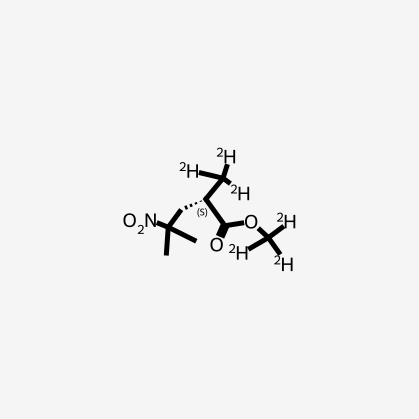 [2H]C([2H])([2H])OC(=O)[C@H](CC(C)(C)[N+](=O)[O-])C([2H])([2H])[2H]